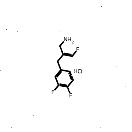 Cl.NCC(=CF)Cc1ccc(F)c(F)c1